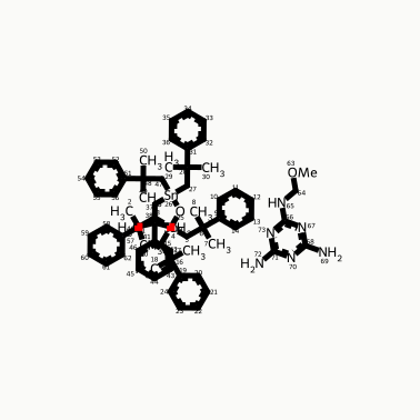 CC(C)([CH2][Sn]([CH2]C(C)(C)c1ccccc1)([CH2]C(C)(C)c1ccccc1)[O][Sn]([CH2]C(C)(C)c1ccccc1)([CH2]C(C)(C)c1ccccc1)[CH2]C(C)(C)c1ccccc1)c1ccccc1.COCNc1nc(N)nc(N)n1